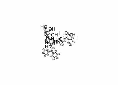 CC(C)N(CCS(=O)(=O)NCc1nc(NCC(c2ccccc2)c2ccccc2)c2ncn([C@@H]3O[C@H](CO)[C@@H](O)[C@@H]3O)c2n1)C1CCCC1